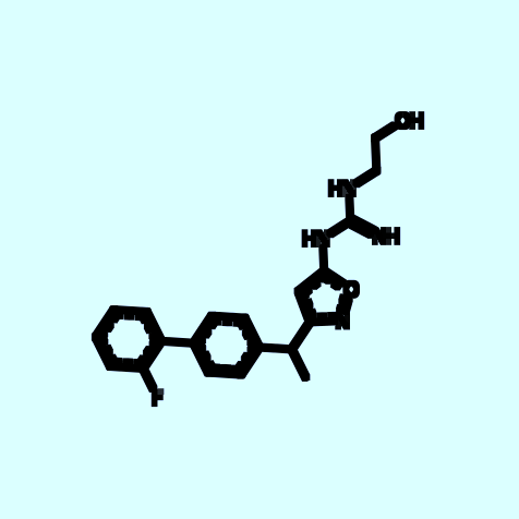 CC(c1ccc(-c2ccccc2F)cc1)c1cc(NC(=N)NCCO)on1